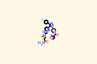 NC(=O)C1=CN(c2cn3nc(-c4c(-c5ccc(F)cc5)ncn4C4CCN(C(=O)c5ccon5)CC4)ccc3n2)CS1